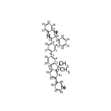 CC1(C)c2cc(-c3ccc(-c4nc5ccccc5nc4-c4ccccc4)cc3)ccc2-c2ccc(-c3cccnc3)cc21